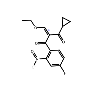 CCO/C=C(\C(=O)c1ccc(F)cc1[N+](=O)[O-])C(=O)C1CC1